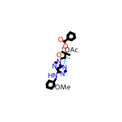 COc1ccccc1CNc1ncnc2c1ncn2[C@H]1O[C@H](COC(=O)c2ccccc2)[C@](C)(OC(C)=O)[C@@]1(C)F